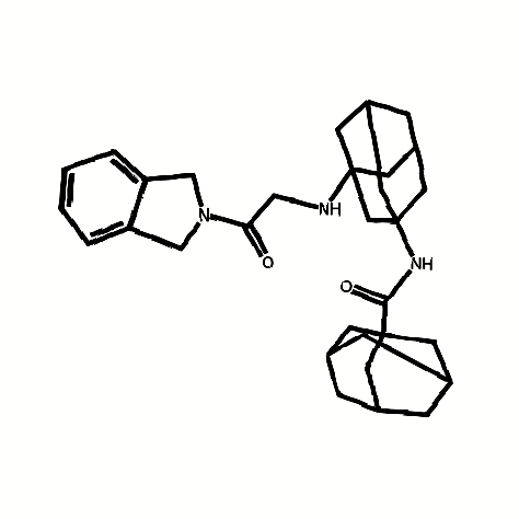 O=C(CNC12CC3CC(C1)CC(NC(=O)C14CC5CC(CC(C5)C1)C4)(C3)C2)N1Cc2ccccc2C1